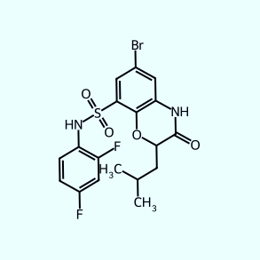 CC(C)CC1Oc2c(cc(Br)cc2S(=O)(=O)Nc2ccc(F)cc2F)NC1=O